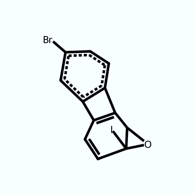 Brc1ccc2c(c1)C1=C2C2OC2(I)C=C1